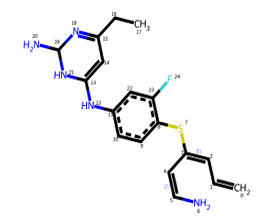 C=C/C=C(\C=C/N)Sc1ccc(NC2=CC(CC)=NC(N)N2)cc1F